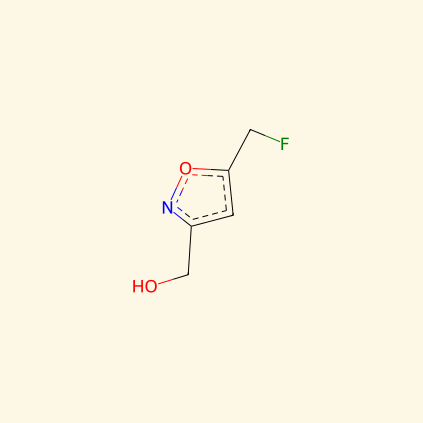 OCc1cc(CF)on1